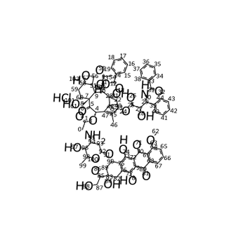 CC(=O)O[C@H]1C(=O)[C@@]2(C)[C@H]([C@H](OC(=O)c3ccccc3)[C@]3(O)C[C@H](OC(=O)[C@H](O)[C@@H](NC(=O)c4ccccc4)c4ccccc4)C(C)=C1C3(C)C)[C@]1(OC(C)=O)CO[C@@H]1C[C@@H]2O.COc1cccc2c1C(=O)c1c(O)c3c(c(O)c1C2=O)C[C@@](O)(C(=O)CO)C[C@@H]3OC1CC(N)C(O)C(C)O1.Cl